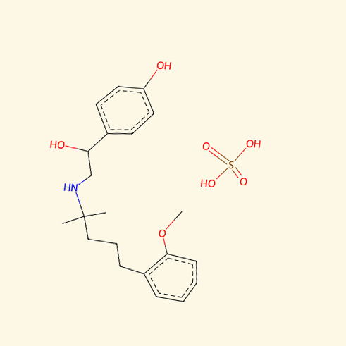 COc1ccccc1CCCC(C)(C)NCC(O)c1ccc(O)cc1.O=S(=O)(O)O